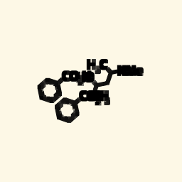 CNC(C)CC(C)O.O=C(O)c1ccccc1.O=C(O)c1ccccc1